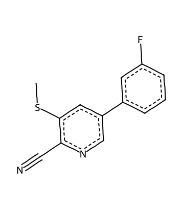 CSc1cc(-c2cccc(F)c2)cnc1C#N